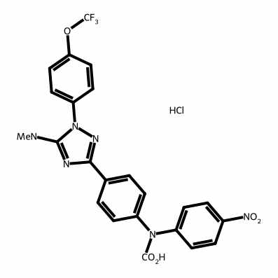 CNc1nc(-c2ccc(N(C(=O)O)c3ccc([N+](=O)[O-])cc3)cc2)nn1-c1ccc(OC(F)(F)F)cc1.Cl